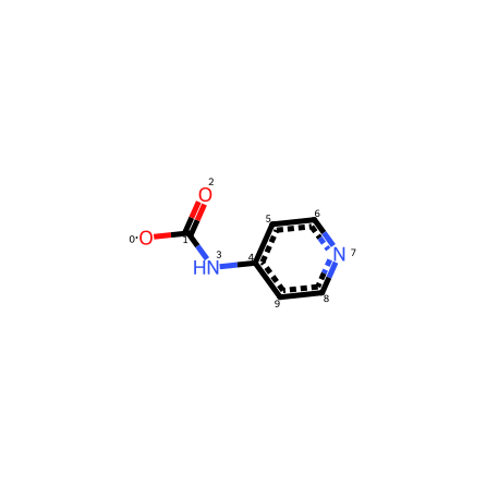 [O]C(=O)Nc1ccncc1